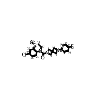 O=C(N1CC2(C1)CN(c1ccc(F)cn1)C2)N1CC[S+]([O-])c2cc(Cl)ccc21